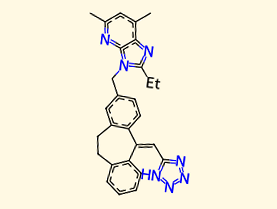 CCc1nc2c(C)cc(C)nc2n1Cc1ccc2c(c1)CCc1ccccc1/C2=C\c1nnn[nH]1